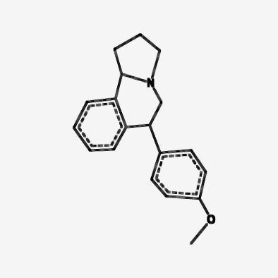 COc1ccc(C2CN3CCCC3c3ccccc32)cc1